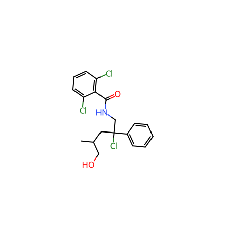 CC(CO)CC(Cl)(CNC(=O)c1c(Cl)cccc1Cl)c1ccccc1